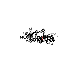 C[C@H](NC(=O)[C@@H]1C[C@@H](O)CN1C(=O)[C@@H](NC(=O)CCOCCCN1CCC[C@H]1CCc1nc(N2CC3CCC(C2)N3C(=O)OC(C)(C)C)c2cc(C(F)(F)F)c(-c3ccc(F)c4sc(N)c(C#N)c34)c(F)c2n1)C(C)(C)C)c1ccc(-c2c(F)cccc2F)cc1